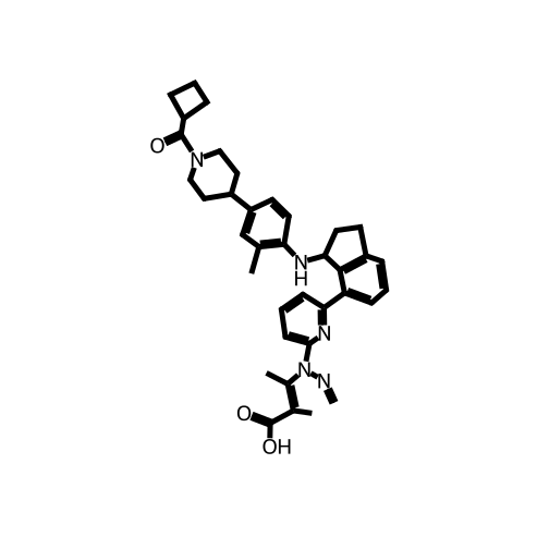 C=NN(/C(C)=C(\C)C(=O)O)c1cccc(-c2cccc3c2C(Nc2ccc(C4CCN(C(=O)C5CCC5)CC4)cc2C)CC3)n1